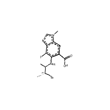 CC(Nc1c(C(=O)O)cc2c(ncn2C)c1F)[C@@H](C)Br